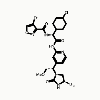 CCc1conc1C(=O)N[C@H](C(=O)Nc1cc([C@@H](COC)N2C[C@@H](C(F)(F)F)NC2=O)ccn1)C1CCC(Cl)CC1